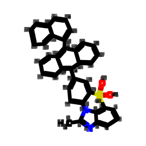 Cc1nc2cccc3c2n1-c1ccc(-c2c4ccccc4c(-c4cccc5ccccc45)c4ccccc24)cc1S3(=O)=O